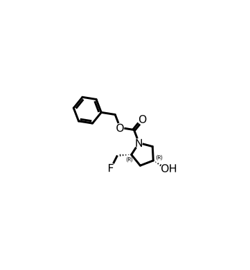 O=C(OCc1ccccc1)N1C[C@H](O)C[C@@H]1CF